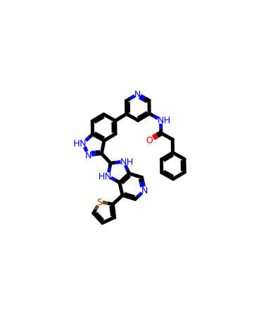 O=C(Cc1ccccc1)Nc1cncc(-c2ccc3[nH]nc(C4Nc5cncc(-c6cccs6)c5N4)c3c2)c1